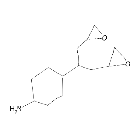 NC1CCC(C(CC2CO2)CC2CO2)CC1